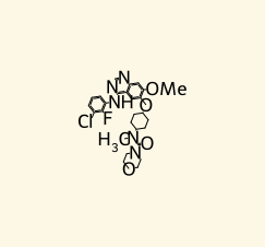 COc1cc2ncnc(Nc3cccc(Cl)c3F)c2cc1OC1CCC(N(C)C(=O)N2CCOCC2)CC1